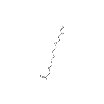 CC(=O)COCCOCCOCCNC=O